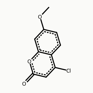 COc1ccc2c(Cl)cc(=O)oc2c1